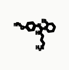 CCCOc1ccc(/N=C(\NCCCN)N2CCCCC2CC)cc1